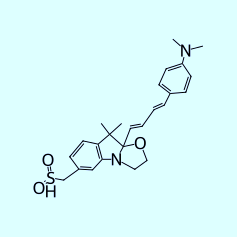 CN(C)c1ccc(/C=C/C=C/C23OCCN2c2cc(C[SH](=O)=O)ccc2C3(C)C)cc1